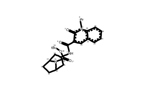 CC(C)n1c(=O)c(C(=O)NC2CC3CCC(C2)N3C(=O)OC(C)(C)C)cc2ccccc21